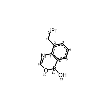 CC(C)Cc1cccc2c1N=COB2O